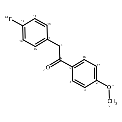 COc1ccc(C(=O)Cc2ccc(F)cc2)cc1